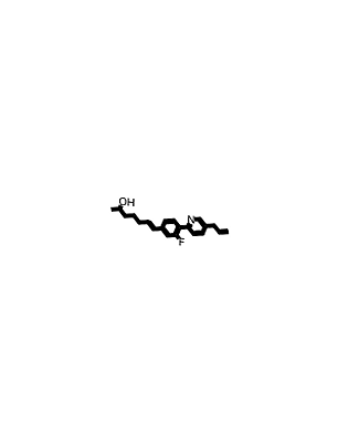 C=CCc1ccc(-c2ccc(C=CCCCC(C)O)cc2F)nc1